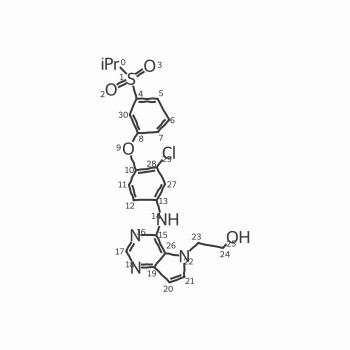 CC(C)S(=O)(=O)c1cccc(Oc2ccc(Nc3ncnc4ccn(CCO)c34)cc2Cl)c1